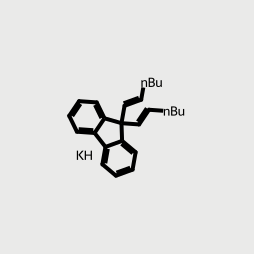 CCCCC=CC1(C=CCCCC)c2ccccc2-c2ccccc21.[KH]